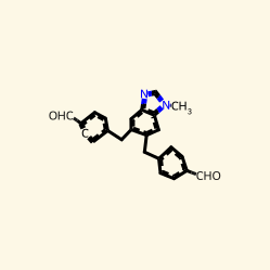 Cn1cnc2cc(Cc3ccc(C=O)cc3)c(Cc3ccc(C=O)cc3)cc21